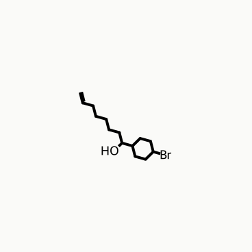 C=CCCCCCC(O)C1CCC(Br)CC1